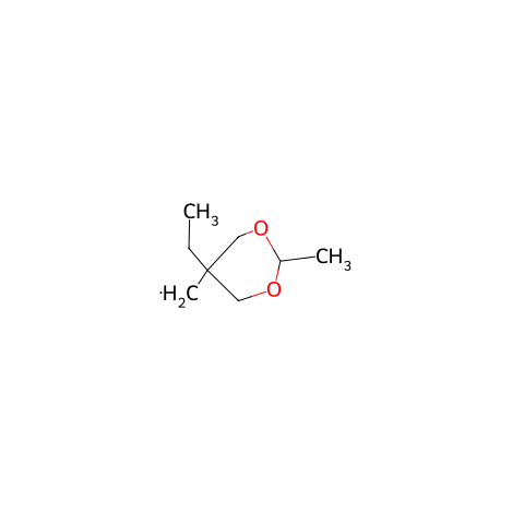 [CH2]C1(CC)COC(C)OC1